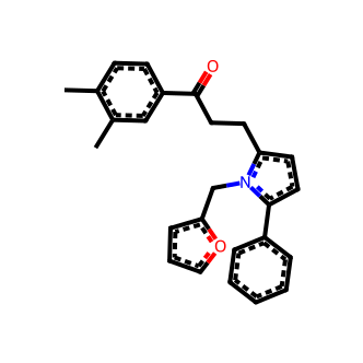 Cc1ccc(C(=O)CCc2ccc(-c3ccccc3)n2Cc2ccco2)cc1C